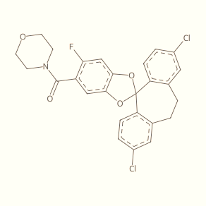 O=C(c1cc2c(cc1F)OC1(O2)c2ccc(Cl)cc2CCc2cc(Cl)ccc21)N1CCOCC1